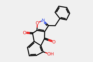 O=C1c2cccc(O)c2C(=O)c2c(Cc3ccccc3)noc21